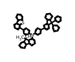 CC1(C)c2ccccc2-c2cccc(N(c3ccc(-c4ccc5c(c4)-c4ccccc4C5(c4ccccc4)c4ccccc4)cc3)c3ccc(-c4cccc5c4sc4ccccc45)cc3)c21